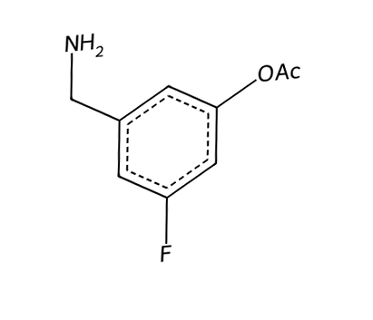 CC(=O)Oc1cc(F)cc(CN)c1